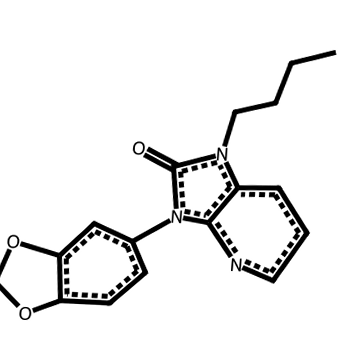 CCCCn1c(=O)n(-c2ccc3c(c2)OCO3)c2ncccc21